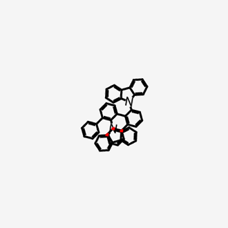 c1ccc(-c2cccc(-n3c4ccccc4c4ccccc43)c2-c2cccc(-c3ccccc3)c2-n2c3ccccc3c3ccccc32)cc1